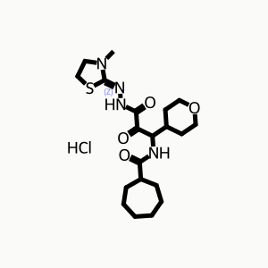 CN1CCS/C1=N\NC(=O)C(=O)C(NC(=O)C1CCCCCC1)C1CCOCC1.Cl